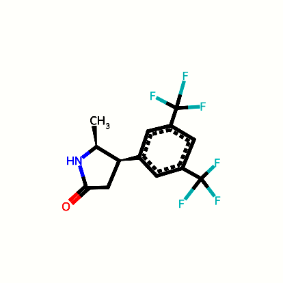 C[C@@H]1NC(=O)C[C@@H]1c1cc(C(F)(F)F)cc(C(F)(F)F)c1